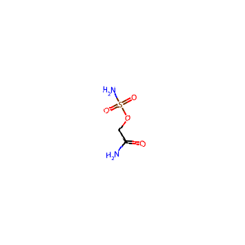 NC(=O)COS(N)(=O)=O